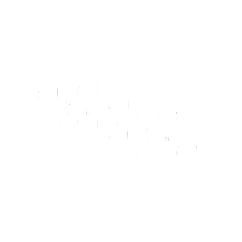 c1ccc(N2c3ccccc3B3c4c(cccc42)-c2ccc4cc5c6c(ccc7cc3c2c4c76)-c2cccc3c2B5c2ccccc2N3c2ccccc2)cc1